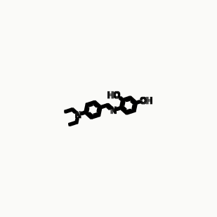 CCN(CC)c1ccc(C=Nc2ccc(O)cc2O)cc1